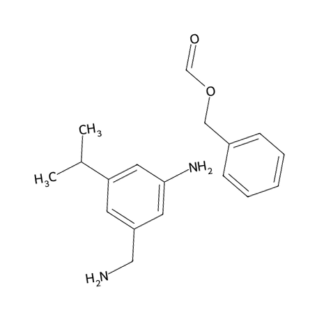 CC(C)c1cc(N)cc(CN)c1.O=COCc1ccccc1